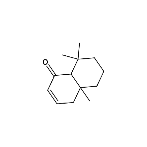 CC1(C)CCCC2(C)CC=CC(=O)C12